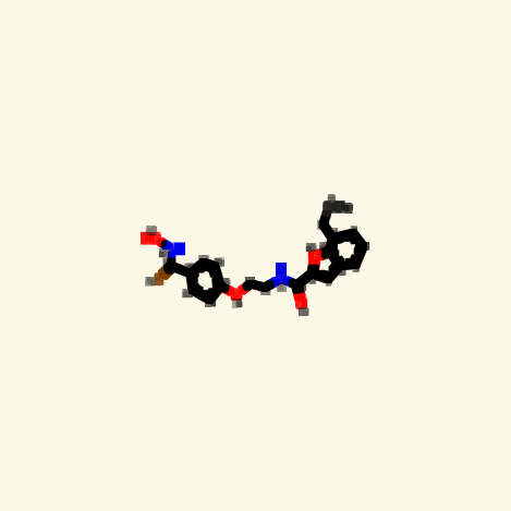 COCc1cccc2cc(C(=O)NCCOc3ccc(C(=S)NO)cc3)oc12